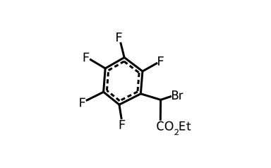 CCOC(=O)C(Br)c1c(F)c(F)c(F)c(F)c1F